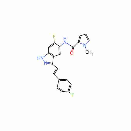 Cn1cccc1C(=O)Nc1cc2c(C=Cc3ccc(F)cc3)n[nH]c2cc1F